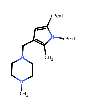 CCCCCc1cc(CN2CCN(C)CC2)c(C)n1CCCCC